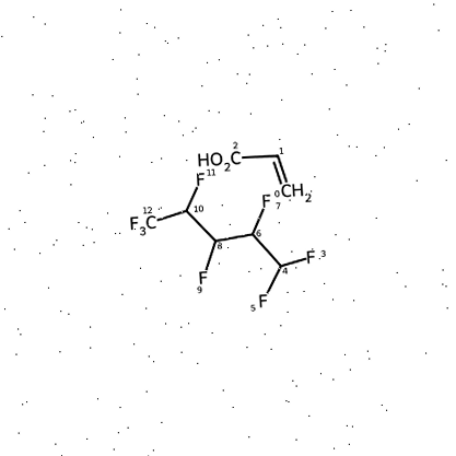 C=CC(=O)O.FC(F)C(F)C(F)C(F)C(F)(F)F